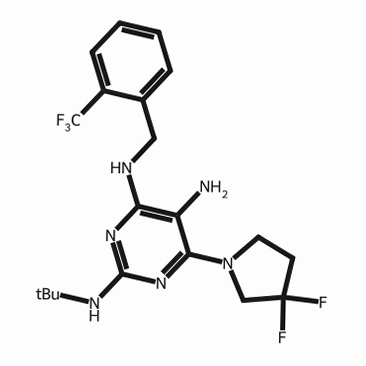 CC(C)(C)Nc1nc(NCc2ccccc2C(F)(F)F)c(N)c(N2CCC(F)(F)C2)n1